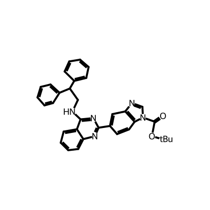 CC(C)(C)OC(=O)n1cnc2cc(-c3nc(NCC(c4ccccc4)c4ccccc4)c4ccccc4n3)ccc21